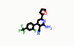 N#Cc1c(-c2ccc(C(F)(F)F)cc2F)cc(-c2ccco2)nc1N